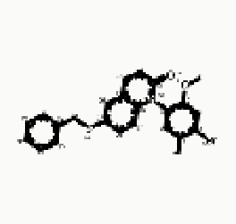 COc1cc(Br)c(C)cc1-n1c(=O)ccc2cc(SCc3ccccc3)ccc21